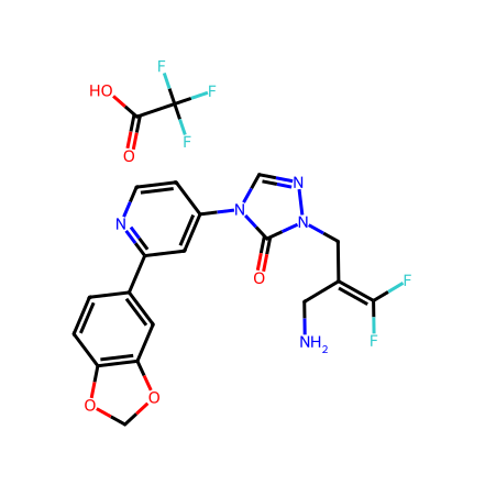 NCC(Cn1ncn(-c2ccnc(-c3ccc4c(c3)OCO4)c2)c1=O)=C(F)F.O=C(O)C(F)(F)F